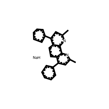 Cc1cc(-c2ccccc2)c2ccc3c(-c4ccccc4)cc(C)nc3c2n1.[NaH]